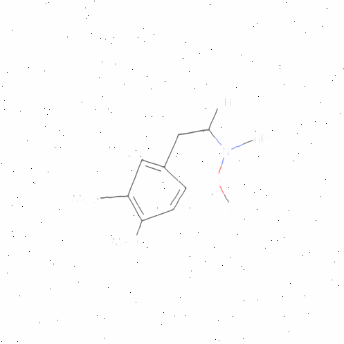 CCCN(OCC)C(C)Cc1ccc(OC)c(OC)c1